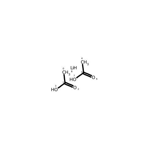 CC(=O)O.CC(=O)O.[LiH]